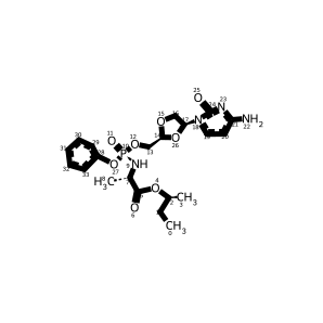 CC[C@@H](C)OC(=O)[C@H](C)N[P@](=O)(OC[C@H]1OC[C@@H](n2ccc(N)nc2=O)O1)Oc1ccccc1